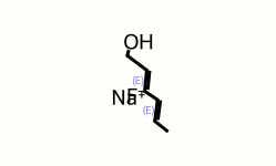 C/C=C/C=C/CO.[F-].[Na+]